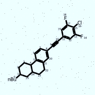 CCCCC1CCC2c3ccc(C#Cc4cc(F)c(Cl)c(F)c4)cc3CCC2C1